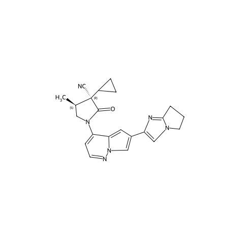 C[C@@H]1CN(c2ccnn3cc(-c4cn5c(n4)CCC5)cc23)C(=O)[C@]1(C#N)C1CC1